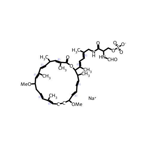 COC1/C=C(C)/C=C/C(C)/C=C(\C)C(=O)OC(/C(C)=C/C=C(\C)CNC(=O)C(COS(=O)(=O)[O-])NC=O)C(C)/C=C/C=C/C(OC)CC/C=C(C)/C=C/C1.[Na+]